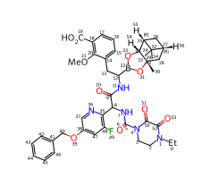 CCN1CCN(C(=O)NC(C(=O)NC(Cc2cccc(C(=O)O)c2OC)B2O[C@@H]3[C@@H]4C[C@H](C[C@]3(C)O2)C4(C)C)c2ncc(OCc3ccccc3)cc2F)C(=O)C1=O